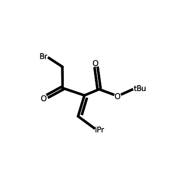 CC(C)C=C(C(=O)CBr)C(=O)OC(C)(C)C